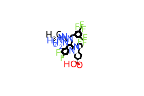 CN(N)/N=C(\N)N(Cc1cc(C(F)(F)F)cc(C(F)(F)F)c1)Cc1cc2cc(F)c(F)cc2nc1N1CCC[C@@H]1[C@H]1CC[C@H](C(=O)O)CC1